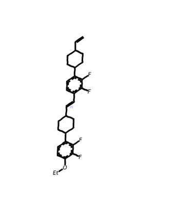 C=CC1CCC(c2ccc(/C=C/C3CCC(c4ccc(OCC)c(F)c4F)CC3)c(F)c2F)CC1